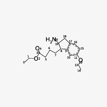 CCOC(=O)CCCC1c2cc(OCC)ccc2CC1N